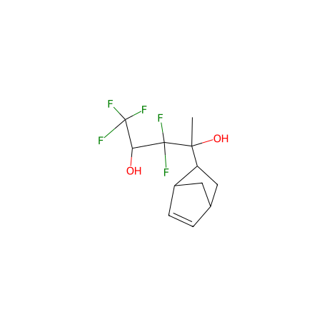 CC(O)(C1CC2C=CC1C2)C(F)(F)C(O)C(F)(F)F